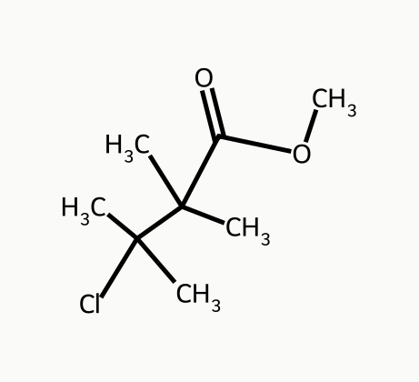 COC(=O)C(C)(C)C(C)(C)Cl